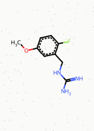 COc1ccc(F)c(CNC(=N)N)c1